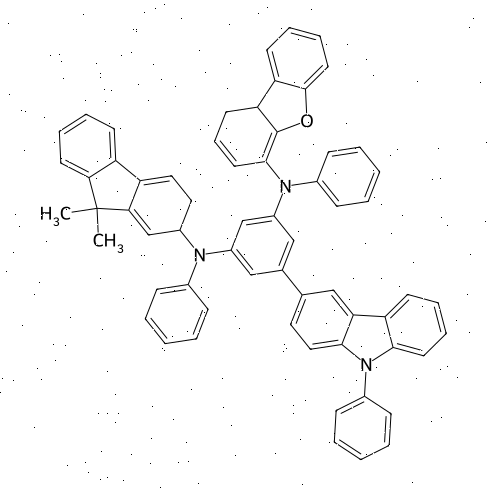 CC1(C)C2=CC(N(c3ccccc3)c3cc(-c4ccc5c(c4)c4ccccc4n5-c4ccccc4)cc(N(C4=C5Oc6ccccc6C5CC=C4)c4ccccc4)c3)CC=C2c2ccccc21